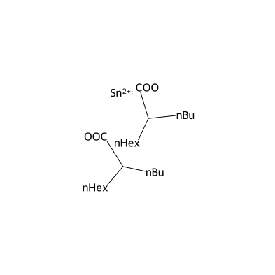 CCCCCCC(CCCC)C(=O)[O-].CCCCCCC(CCCC)C(=O)[O-].[Sn+2]